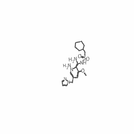 COC1=CC(Cn2cccn2)=CN(N)/C1=C(\N)NS(=O)(=O)CC1CCCCC1